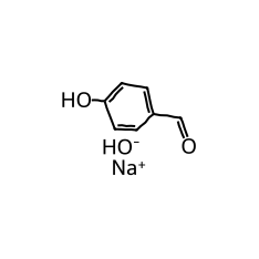 O=Cc1ccc(O)cc1.[Na+].[OH-]